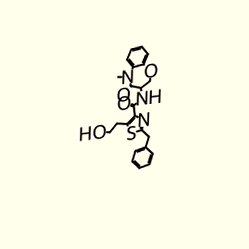 CN1C(=O)C(NC(=O)c2nc(Cc3ccccc3)sc2CCO)COc2ccccc21